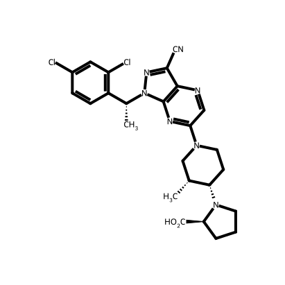 C[C@@H]1CN(c2cnc3c(C#N)nn([C@H](C)c4ccc(Cl)cc4Cl)c3n2)CC[C@@H]1N1CCC[C@H]1C(=O)O